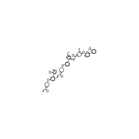 C=CC(=O)N1CCC(Oc2ccc(/C=C/C(=O)N3CCC(Oc4cccc(-c5nn(CC)c[n+]5/C=C\C(=O)N5CC[C@H](Oc6nccc(-c7ccccc7OC)n6)[C@H](F)C5)c4)CC3)c(-c3csnc3OC)c2)CC1